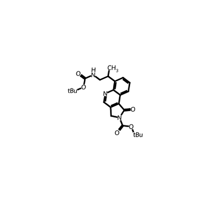 CC(CNC(=O)OC(C)(C)C)c1cccc2c3c(cnc12)CN(C(=O)OC(C)(C)C)C3=O